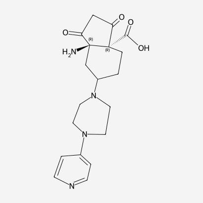 N[C@]12CC(N3CCN(c4ccncc4)CC3)CC[C@]1(C(=O)O)C(=O)CC2=O